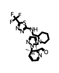 C[C@@]1(n2nccn2)C=CC=N[C@@]1(C=O)CN1CCCCC1CNc1nnc(C(F)(F)F)s1